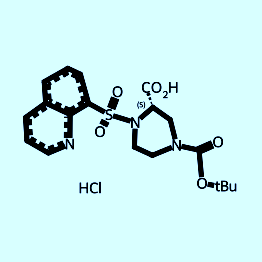 CC(C)(C)OC(=O)N1CCN(S(=O)(=O)c2cccc3cccnc23)[C@H](C(=O)O)C1.Cl